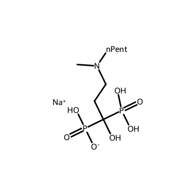 CCCCCN(C)CCC(O)(P(=O)([O-])O)P(=O)(O)O.[Na+]